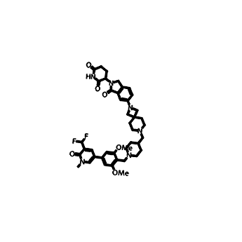 COc1cc(-c2cc(C(F)F)c(=O)n(C)c2)cc(OC)c1CN1CCC(CN2CCC3(CC2)CN(c2ccc4c(c2)C(=O)N(C2CCC(=O)NC2=O)C4)C3)CC1